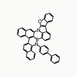 c1ccc(-c2ccc(N3B4c5c(cc6ccccc6c5-c5ccc6ccccc6c53)-n3c5oc6ccccc6c5c5cccc4c53)cc2)cc1